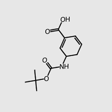 CC(C)(C)OC(=O)NC1C=C(C(=O)O)C=CC1